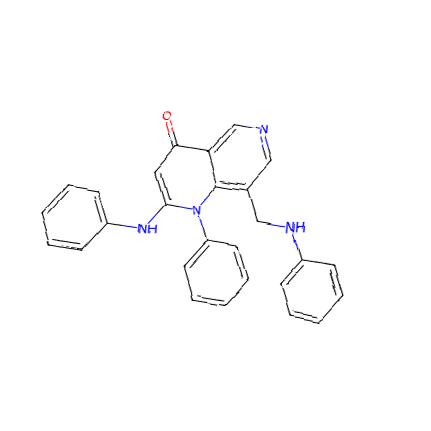 O=c1cc(Nc2ccccc2)n(-c2ccccc2)c2c(CNc3ccccc3)cncc12